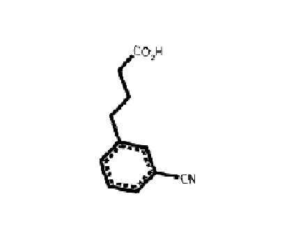 N#Cc1cccc(CCCC(=O)O)c1